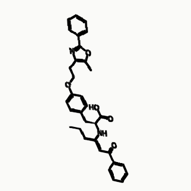 CCC/C(=C/C(=O)c1ccccc1)N[C@@H](Cc1ccc(OCCc2nc(-c3ccccc3)oc2C)cc1)C(=O)O